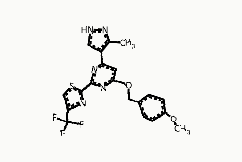 COc1ccc(COc2cc(-c3c[nH]nc3C)nc(-c3nc(C(F)(F)F)cs3)n2)cc1